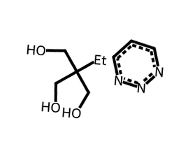 CCC(CO)(CO)CO.c1cnnnc1